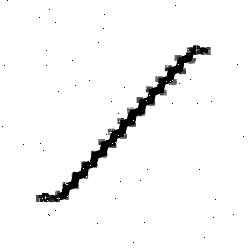 CCCCCCCCCCCCCCCCCCCCC/C=C/[C]/C=C/CCCCCCCCCCCCCCCCCCCCC